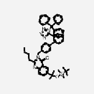 CCCCc1nc2ccc(C(C)(C)O[Si](C)(C)C(C)(C)C)cc2c(=O)n1Cc1ccc(-c2ccccc2-c2nnnn2C(c2ccccc2)(c2ccccc2)c2ccccc2)cc1